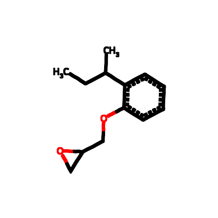 CCC(C)c1ccccc1OCC1CO1